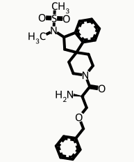 CN(C1CC2(CCN(C(=O)[C@H](N)COCc3ccccc3)CC2)c2ccccc21)S(C)(=O)=O